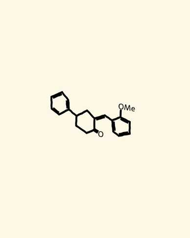 COc1ccccc1/C=C1/CC(c2ccccc2)CCC1=O